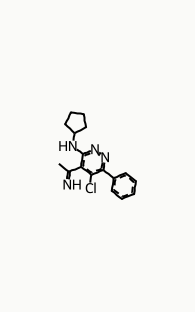 CC(=N)c1c(NC2CCCC2)nnc(-c2ccccc2)c1Cl